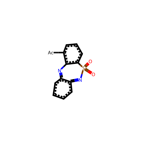 CC(=O)c1cccc2c1N=c1ccccc1=NS2(=O)=O